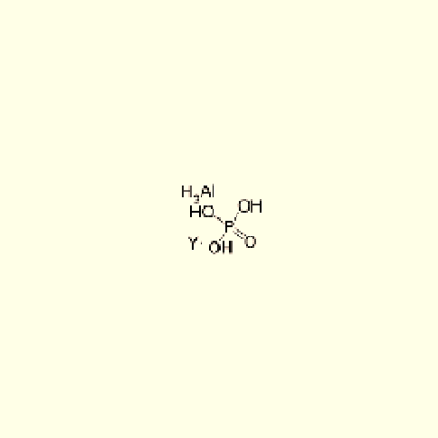 O=P(O)(O)O.[AlH3].[Y]